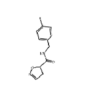 O=C(NCc1ccc(F)cc1)C1CC=NO1